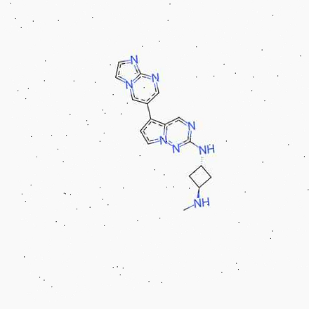 CN[C@H]1C[C@H](Nc2ncc3c(-c4cnc5nccn5c4)ccn3n2)C1